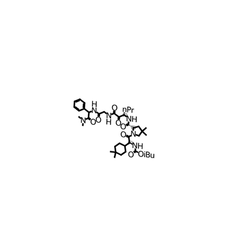 CCC[C@H](NC(=O)[C@@H]1CC(C)(C)CN1C(=O)[C@@H](NC(=O)OCC(C)C)C1CCC(C)(C)CC1)C(=O)C(=O)NCC(=O)NC(C(=O)N(C)C)c1ccccc1